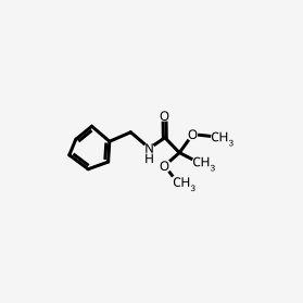 COC(C)(OC)C(=O)NCc1ccccc1